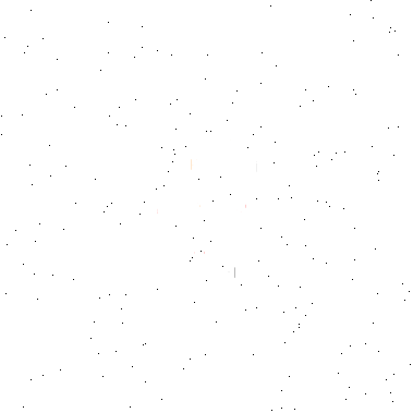 [2H]OP(=O)(O[2H])P=S